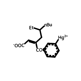 CCCCC(CC)CC(=CC(=O)[O-])C(=O)[O-].[Hg+2][c]1ccccc1